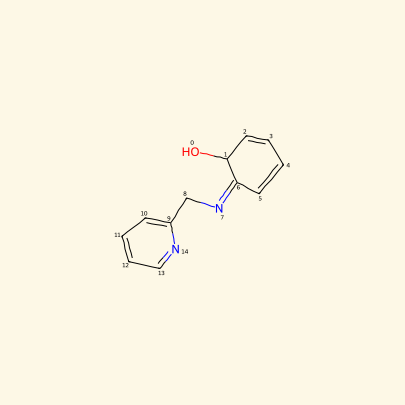 OC1C=CC=CC1=NCc1ccccn1